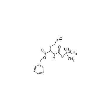 CC(C)(C)OC(=O)NC(CCC=O)C(=O)OCc1ccccc1